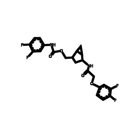 O=C(COc1ccc(F)c(F)c1)NC1CC(COC(=O)Nc2ccc(F)c(F)c2)C2CC12